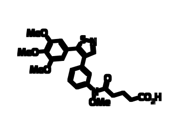 COc1cc(-c2sncc2-c2cccc(N(OC)C(=O)CCCC(=O)O)c2)cc(OC)c1OC